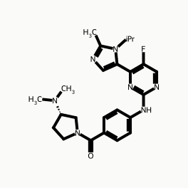 Cc1ncc(-c2nc(Nc3ccc(C(=O)N4CC[C@H](N(C)C)C4)cc3)ncc2F)n1C(C)C